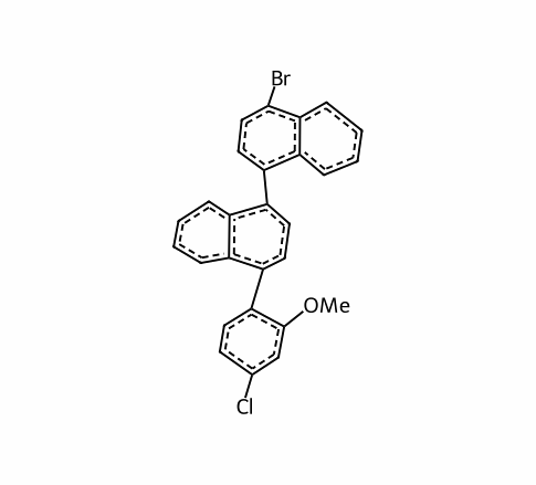 COc1cc(Cl)ccc1-c1ccc(-c2ccc(Br)c3ccccc23)c2ccccc12